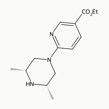 CCOC(=O)c1ccc(N2C[C@@H](C)N[C@@H](C)C2)nc1